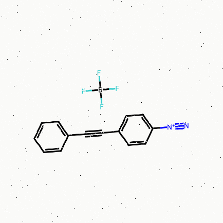 F[B-](F)(F)F.N#[N+]c1ccc(C#Cc2ccccc2)cc1